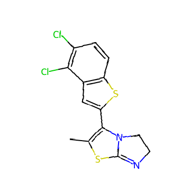 CC1=C(c2cc3c(Cl)c(Cl)ccc3s2)N2CCN=C2S1